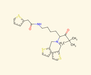 CC(C)(C)C(=O)[C](CCCCNC(=O)Cc1cccs1)N(Cc1cccs1)Cc1cccs1